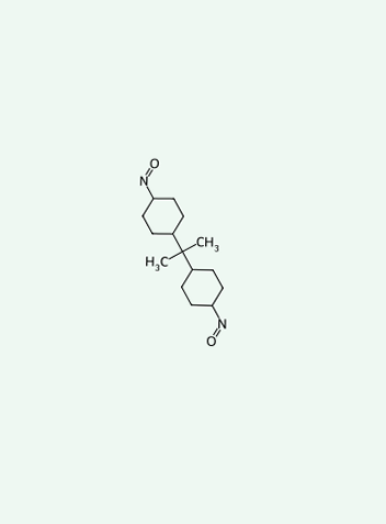 CC(C)(C1CCC(N=O)CC1)C1CCC(N=O)CC1